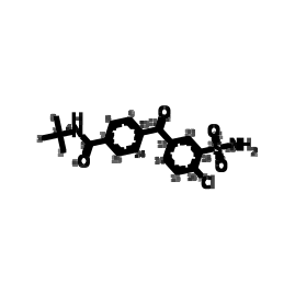 CC(C)(C)NC(=O)c1ccc(C(=O)c2ccc(Cl)c(S(N)(=O)=O)c2)cc1